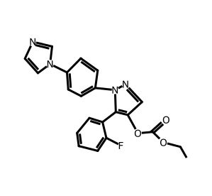 CCOC(=O)Oc1cnn(-c2ccc(-n3ccnc3)cc2)c1-c1ccccc1F